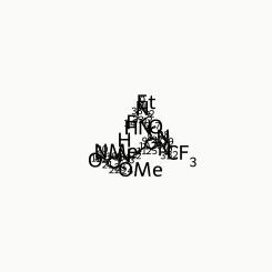 CCN1CC[C@H](NC(=O)c2cc(C#CCNc3cc(C(=O)NC)ccc3OC)cc3c2ncn3CC(F)(F)F)[C@@H](F)C1